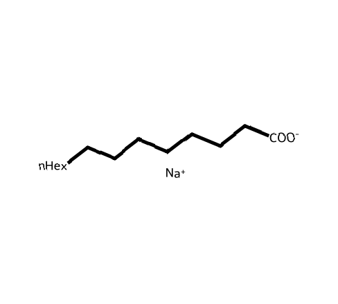 [CH2]CCCCCCCCCCCCC(=O)[O-].[Na+]